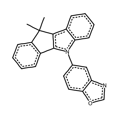 CC1(C)c2ccccc2-c2c1c1ccccc1n2-c1ccc2ocnc2c1